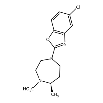 C[C@@H]1CCN(c2nc3cc(Cl)ccc3o2)CCN1C(=O)O